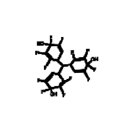 OC1(F)C(F)=CC(C(C2C=C(F)C(O)(F)C(F)=C2F)C2C=C(F)C(O)(F)C(F)=C2F)C(F)=C1F